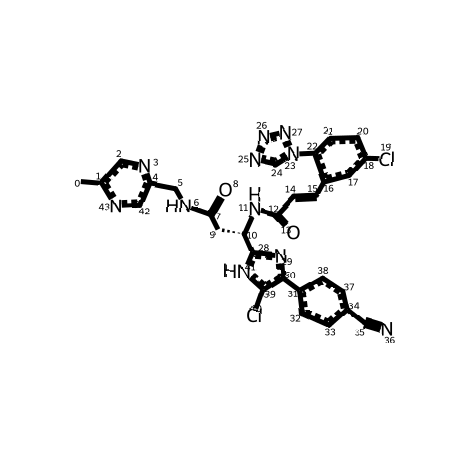 Cc1cnc(CNC(=O)C[C@H](NC(=O)C=Cc2cc(Cl)ccc2-n2cnnn2)c2nc(-c3ccc(C#N)cc3)c(Cl)[nH]2)cn1